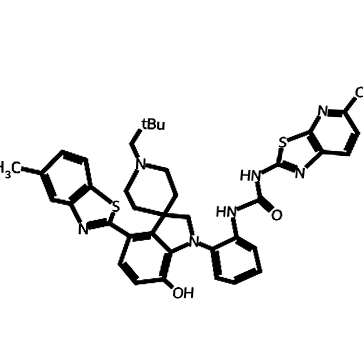 Cc1ccc2sc(-c3ccc(O)c4c3C3(CCN(CC(C)(C)C)CC3)CN4c3ccccc3NC(=O)Nc3nc4ccc(C)nc4s3)nc2c1